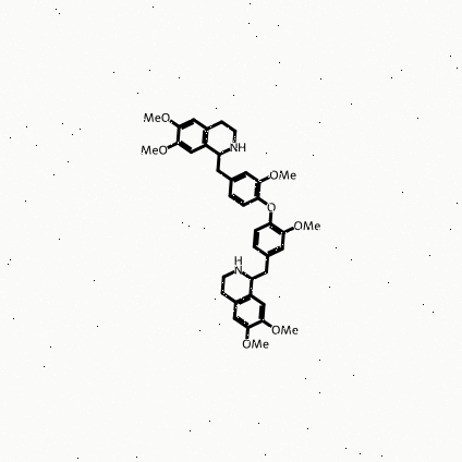 COc1cc2c(cc1OC)C(Cc1ccc(Oc3ccc(CC4NCCc5cc(OC)c(OC)cc54)cc3OC)c(OC)c1)NCC2